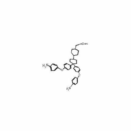 CCCCCCCCCCC[C@H]1CC[C@@H](C2CCC(c3ccc(Oc4ccc(N)cc4)cc3)(c3ccc(Oc4ccc(N)cc4)cc3)CC2)CC1